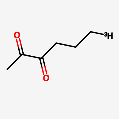 [3H]CCCC(=O)C(C)=O